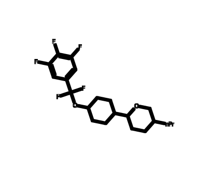 CCCC1CCC(C2CCC(OC(F)(F)c3cc(F)c(F)c(F)c3)CC2)OC1